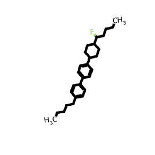 CCCCCc1ccc(-c2ccc(C3CCC(C(F)CCCC)CC3)cc2)cc1